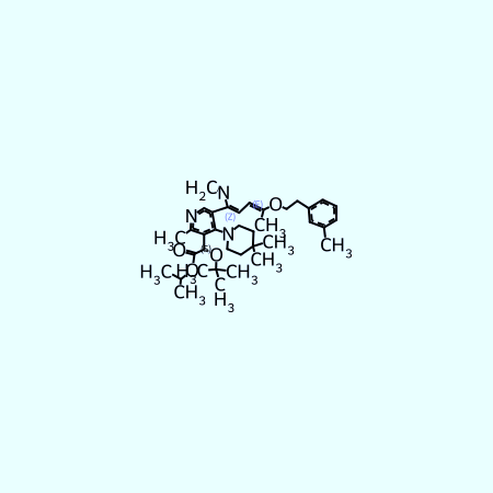 C=N/C(=C\C=C(/C)OCCc1cccc(C)c1)c1cnc(C)c([C@H](OC(C)(C)C)C(=O)OC(C)C)c1N1CCC(C)(C)CC1